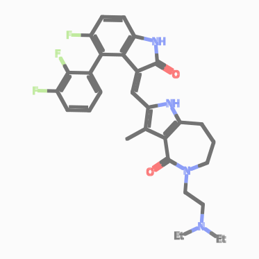 CCN(CC)CCN1CCCc2[nH]c(C=C3C(=O)Nc4ccc(F)c(-c5cccc(F)c5F)c43)c(C)c2C1=O